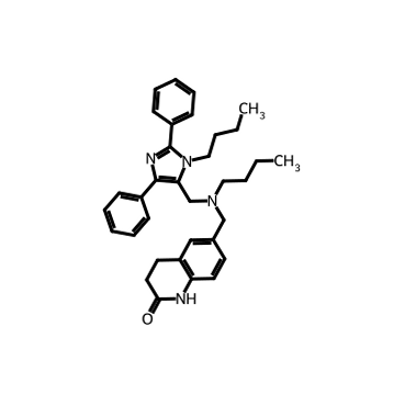 CCCCN(Cc1ccc2c(c1)CCC(=O)N2)Cc1c(-c2ccccc2)nc(-c2ccccc2)n1CCCC